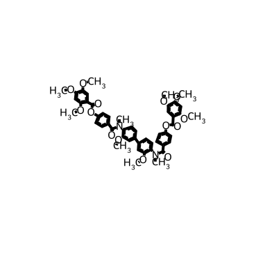 COc1cc(OC)c(C(=O)Oc2ccc(C(=O)N(C)c3ccc(-c4ccc(N(C)C(=O)c5ccc(OC(=O)c6cc(OC)c(OC)cc6OC)cc5)c(OC)c4)cc3OC)cc2)cc1OC